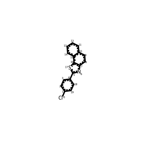 Clc1ccc(-c2nc3ccc4ccccc4c3s2)cc1